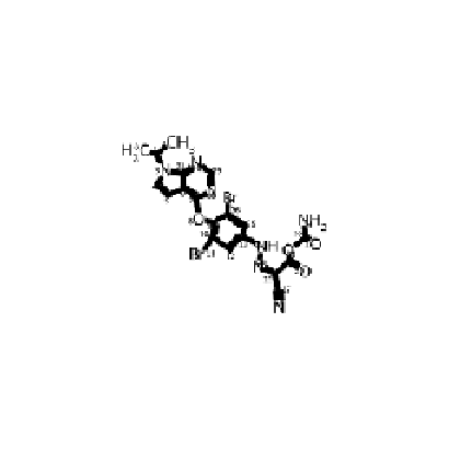 CC(C)n1ccc2c(Oc3c(Br)cc(NN=C(C#N)C(=O)OC(N)=O)cc3Br)ncnc21